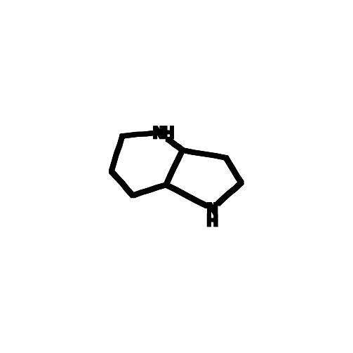 C1CNC2CCNC2C1